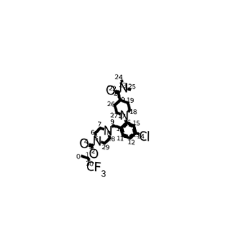 CC(OC(=O)N1CCN(Cc2ccc(Cl)cc2N2CCC(C(=O)N(C)C)CC2)CC1)C(F)(F)F